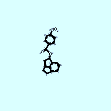 O=C(OC1C=C2CCc3cccc1c32)c1ccc([N+](=O)[O-])cc1